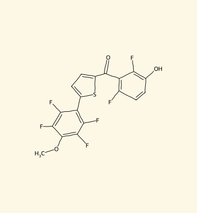 COc1c(F)c(F)c(-c2ccc(C(=O)c3c(F)ccc(O)c3F)s2)c(F)c1F